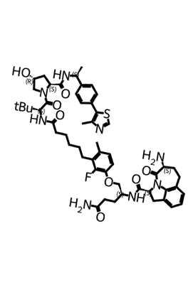 Cc1ccc(OC[C@H](CCC(N)=O)NC(=O)[C@@H]2Cc3cccc4c3N2C(=O)[C@@H](N)CC4)c(F)c1CCCCCC(=O)N[C@H](C(=O)N1C[C@H](O)C[C@H]1C(=O)N[C@@H](C)c1ccc(-c2scnc2C)cc1)C(C)(C)C